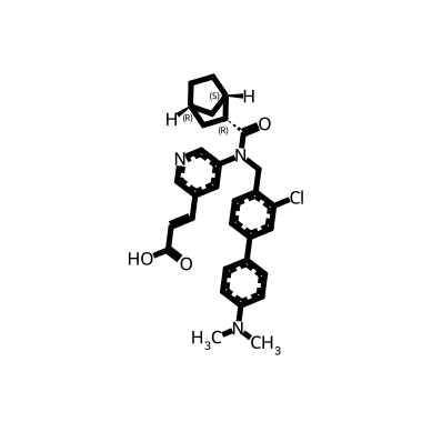 CN(C)c1ccc(-c2ccc(CN(C(=O)[C@@H]3C[C@@H]4CC[C@H]3C4)c3cncc(C=CC(=O)O)c3)c(Cl)c2)cc1